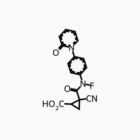 N#CC1(C(=O)N(F)c2ccc(-n3ccccc3=O)cc2)CC1C(=O)O